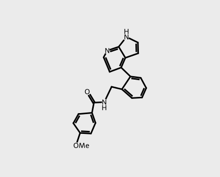 COc1ccc(C(=O)NCc2ccccc2-c2ccnc3[nH]ccc23)cc1